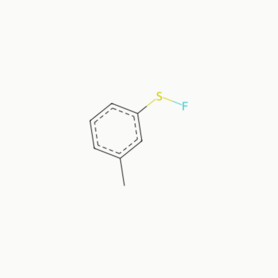 Cc1cccc(SF)c1